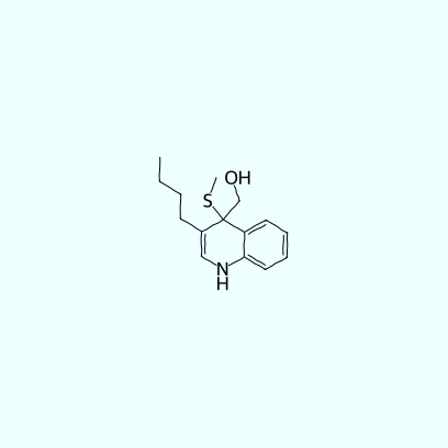 CCCCC1=CNc2ccccc2C1(CO)SC